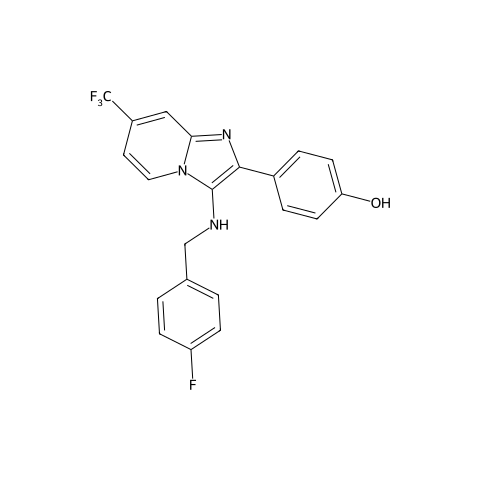 Oc1ccc(-c2nc3cc(C(F)(F)F)ccn3c2NCc2ccc(F)cc2)cc1